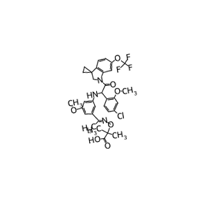 COc1cc(NC(C(=O)N2CC3(CC3)c3ccc(OC(F)(F)F)cc32)c2ccc(Cl)cc2OC)cc(C(C)=NOC(C)(C)C(=O)O)c1